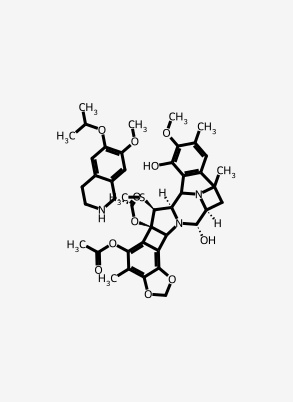 COc1cc2c(cc1OC(C)C)CCN[C@H]2C(=O)O[C@]12c3c(OC(C)=O)c(C)c4c(c3C1N1[C@H](C3c5c(cc(C)c(OC)c5O)C5(C)C[C@@H]([C@@H]1O)N35)[C@@H]2SC)OCO4